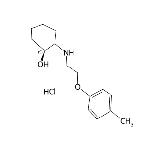 Cc1ccc(OCCNC2CCCC[C@@H]2O)cc1.Cl